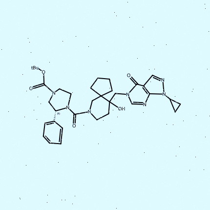 CC(C)(C)OC(=O)N1CCN(C(=O)N2CCC(O)(Cn3cnc4c(cnn4C4CC4)c3=O)C3(CCCC3)C2)[C@H](c2ccccc2)C1